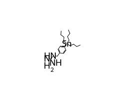 CCC[CH2][Sn]([CH2]CCC)([CH2]CCC)[c]1ccc(CNC(=N)N)cc1